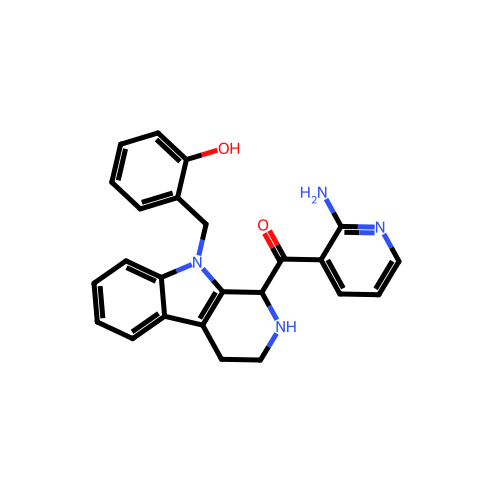 Nc1ncccc1C(=O)C1NCCc2c1n(Cc1ccccc1O)c1ccccc21